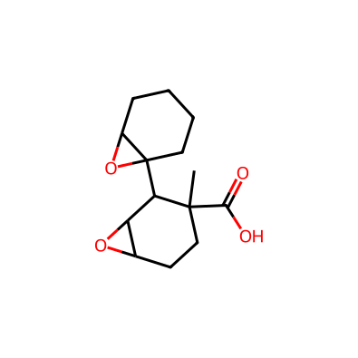 CC1(C(=O)O)CCC2OC2C1C12CCCCC1O2